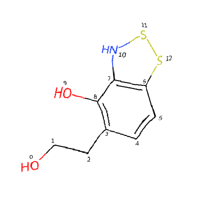 OCCc1ccc2c(c1O)NSS2